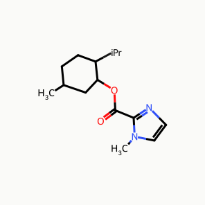 CC1CCC(C(C)C)C(OC(=O)c2nccn2C)C1